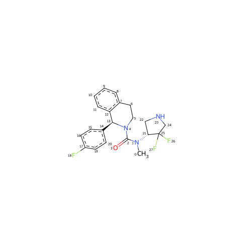 CN(C(=O)N1CCc2ccccc2[C@@H]1c1ccc(F)cc1)[C@@H]1CNCC1(F)F